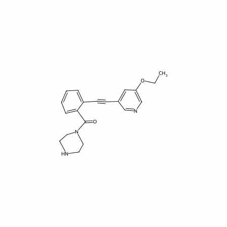 CCOc1cncc(C#Cc2ccccc2C(=O)N2CCNCC2)c1